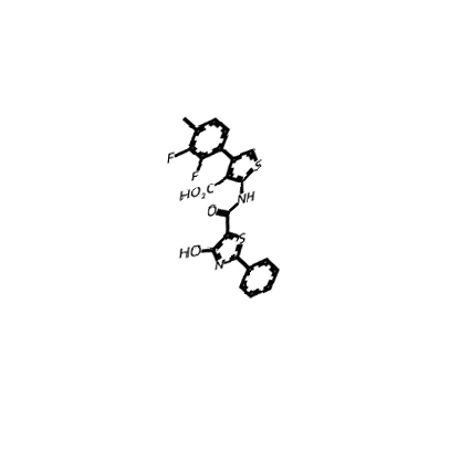 Cc1ccc(-c2csc(NC(=O)c3sc(-c4ccccc4)nc3O)c2C(=O)O)c(F)c1F